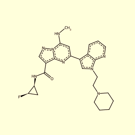 CNc1cc(-c2cn(CCN3CCCCC3)c3ncccc23)nc2c(C(=O)N[C@H]3C[C@H]3F)cnn12